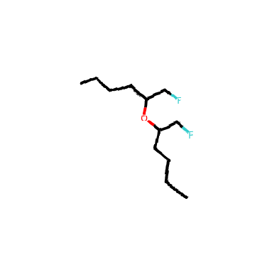 CCCCC(CF)OC(CF)CCCC